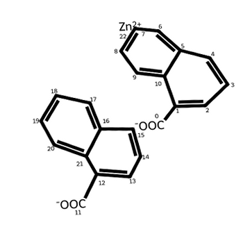 O=C([O-])c1cccc2ccccc12.O=C([O-])c1cccc2ccccc12.[Zn+2]